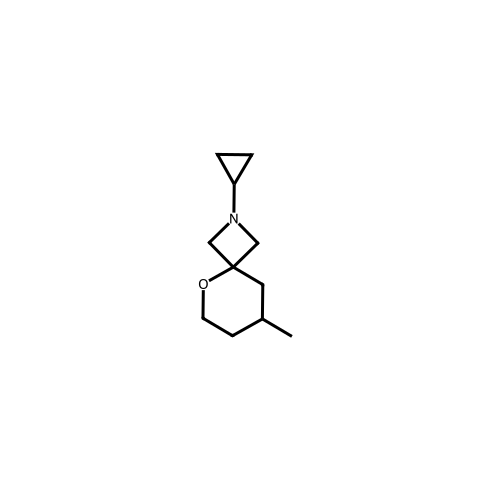 CC1CCOC2(C1)CN(C1CC1)C2